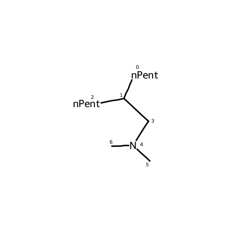 CCCCCC(CCCCC)CN(C)C